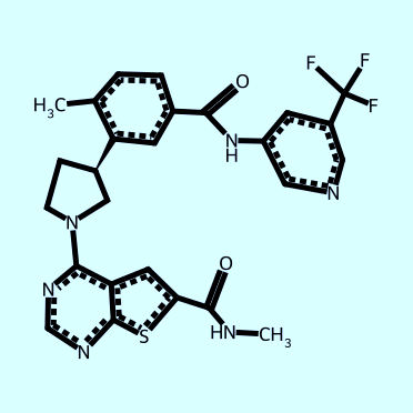 CNC(=O)c1cc2c(N3CC[C@@H](c4cc(C(=O)Nc5cncc(C(F)(F)F)c5)ccc4C)C3)ncnc2s1